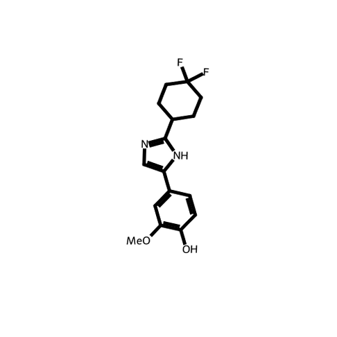 COc1cc(-c2cnc(C3CCC(F)(F)CC3)[nH]2)ccc1O